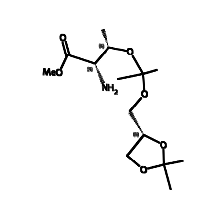 COC(=O)[C@@H](N)[C@H](C)OC(C)(C)OC[C@H]1COC(C)(C)O1